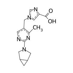 Cc1nc(N2CC3CC3C2)ncc1Cn1cnc(C(=O)O)c1